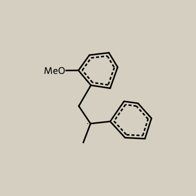 COc1ccccc1C[C](C)c1ccccc1